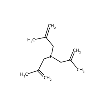 C=C(C)CP(CC(=C)C)CC(=C)C